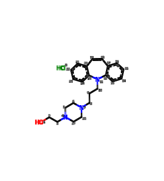 Cl.OCCN1CCN(CCCN2c3ccccc3C=Cc3ccccc32)CC1